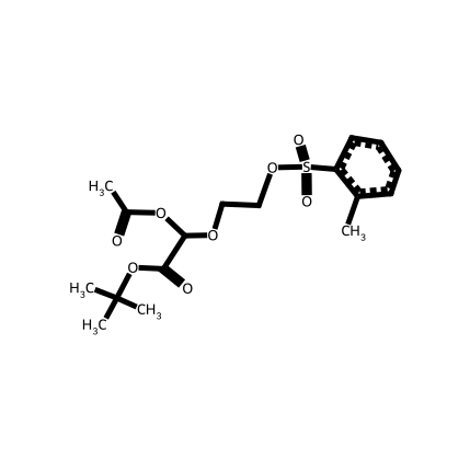 CC(=O)OC(OCCOS(=O)(=O)c1ccccc1C)C(=O)OC(C)(C)C